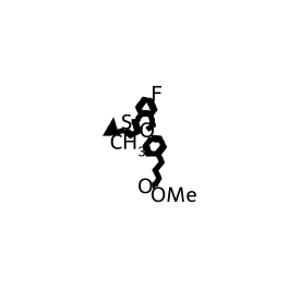 COC(=O)CCCc1ccc(OCc2cc(F)ccc2-c2ccc(C3(C)CC3)s2)cc1